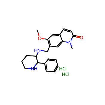 COc1cc2ccc(=O)n(C)c2cc1CNC1CCCNC1c1ccccc1.Cl.Cl